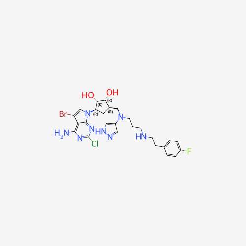 Nc1nc(Cl)nc2c1c(Br)cn2[C@@H]1C[C@H](CN(CCCNCCc2ccc(F)cc2)c2cn[nH]c2)[C@@H](O)[C@H]1O